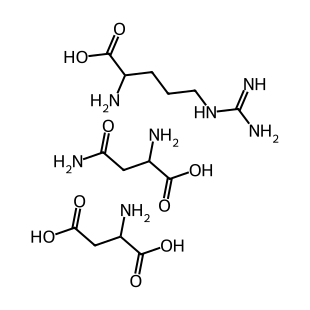 N=C(N)NCCCC(N)C(=O)O.NC(=O)CC(N)C(=O)O.NC(CC(=O)O)C(=O)O